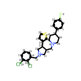 Fc1ccc(C2CCN(CC3CN(Cc4cccc(Cl)c4Cl)CC3c3ccsc3)CC2)cc1